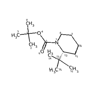 CC(C)(C)OC(=O)N1CCCC[C@@H]1C(C)(C)C